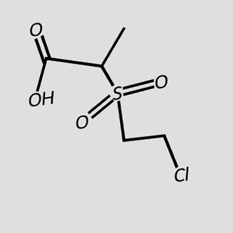 CC(C(=O)O)S(=O)(=O)CCCl